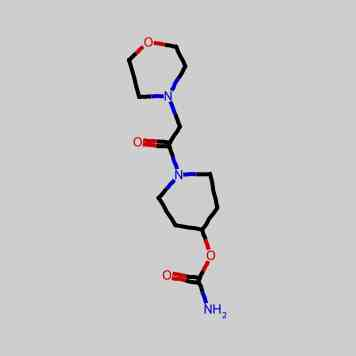 NC(=O)OC1CCN(C(=O)CN2CCOCC2)CC1